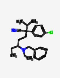 CCC(CCC(C#N)(c1ccc(Cl)cc1)C(C)C)N(CC)Cc1ccccc1